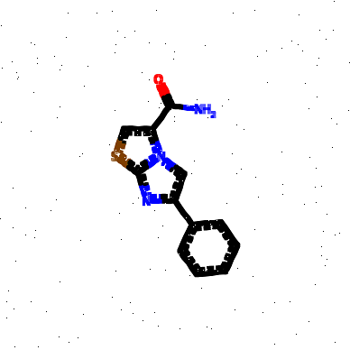 NC(=O)c1csc2nc(-c3ccccc3)cn12